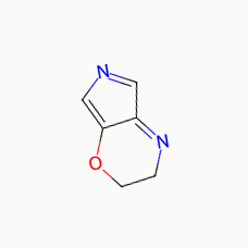 C1=NC=C2OCCN=C12